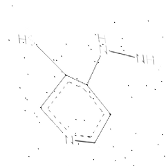 NNc1ccncc1S